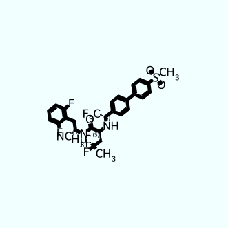 CC(C)(F)C[C@H](N[C@@H](c1ccc(-c2ccc(S(C)(=O)=O)cc2)cc1)C(F)(F)F)C(=O)N[C@H](C#N)Cc1c(F)cccc1F